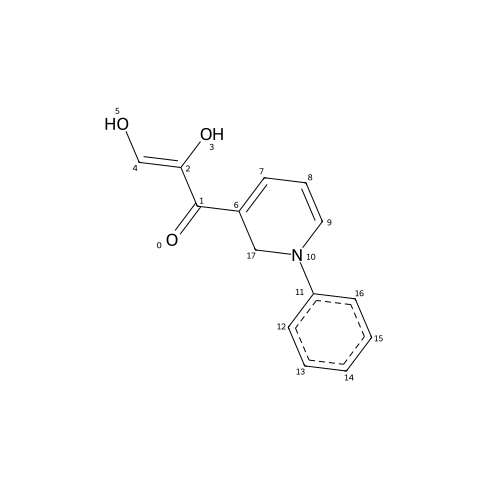 O=C(C(O)=CO)C1=CC=CN(c2ccccc2)C1